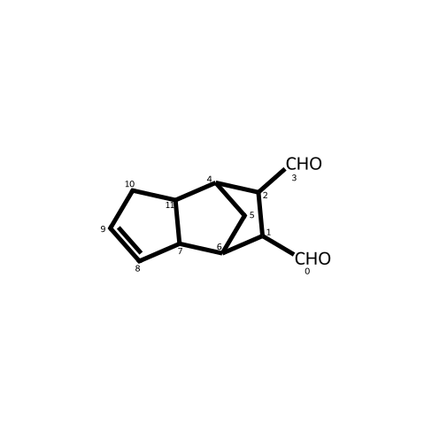 O=CC1C(C=O)C2CC1C1C=CCC12